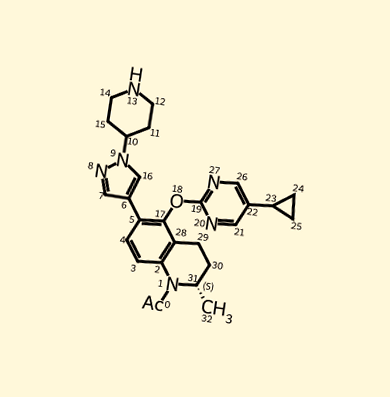 CC(=O)N1c2ccc(-c3cnn(C4CCNCC4)c3)c(Oc3ncc(C4CC4)cn3)c2CC[C@@H]1C